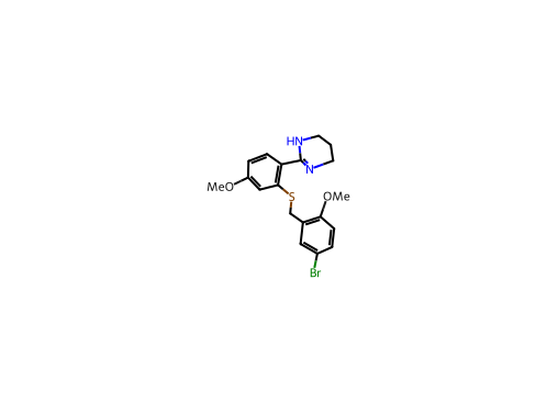 COc1ccc(C2=NCCCN2)c(SCc2cc(Br)ccc2OC)c1